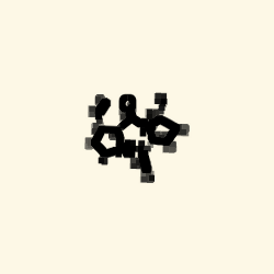 C=C[C@H]1CCN[C@@H]1C(=O)N1[C@H](C)CC[C@@H]1C=C